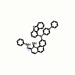 N=C1/C(=N\Nc2ccccc2)C=Cc2ccc3ccc(N(c4ccc(-c5ccccc5)cc4)c4cccc5sc6ccccc6c45)cc3c21